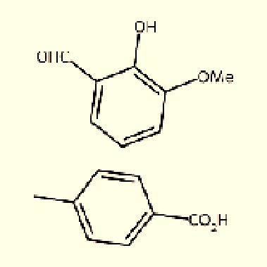 COc1cccc(C=O)c1O.Cc1ccc(C(=O)O)cc1